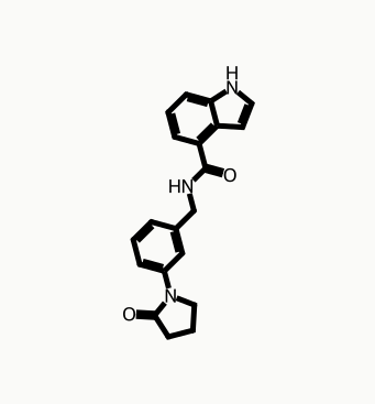 O=C(NCc1cccc(N2CCCC2=O)c1)c1cccc2[nH]ccc12